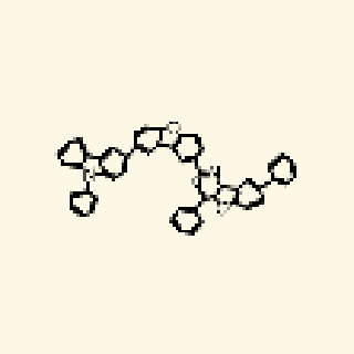 C1=CC2Oc3ccc(C4=NC5c6cc(-c7ccccc7)ccc6OC5C(c5ccccc5)=N4)cc3C2C=C1c1ccc2c(c1)c1ccccc1n2-c1ccccc1